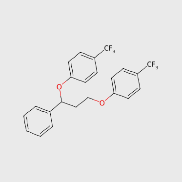 FC(F)(F)c1ccc(OCCC(Oc2ccc(C(F)(F)F)cc2)c2ccccc2)cc1